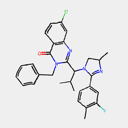 Cc1ccc(C2=NC(C)CN2C(c2nc3cc(Cl)ccc3c(=O)n2Cc2ccccc2)C(C)C)cc1F